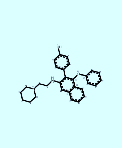 Oc1ccc(-c2c(NCCN3CCCCC3)cc3ccccc3c2Oc2ccccc2)cc1